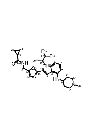 CN1CCC(Nc2cccc3c2cc(-c2ncc(CNC(=O)C4CC4)s2)n3C(F)C(F)F)CC1